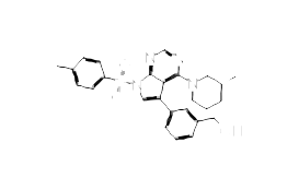 Cc1ccc(S(=O)(=O)n2cc(-c3cccc(CO)c3)c3c(N4CCC[C@H](C)C4)ncnc32)cc1